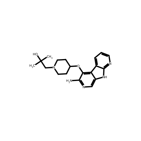 CC(C)(O)CN1CCC(Oc2c(N)ncc3[nH]c4ncccc4c23)CC1